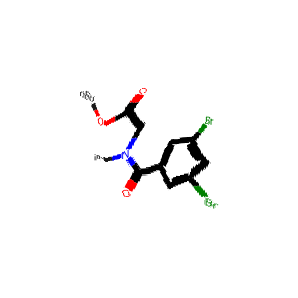 CCCCOC(=O)CN(C(=O)c1cc(Br)cc(Br)c1)C(C)C